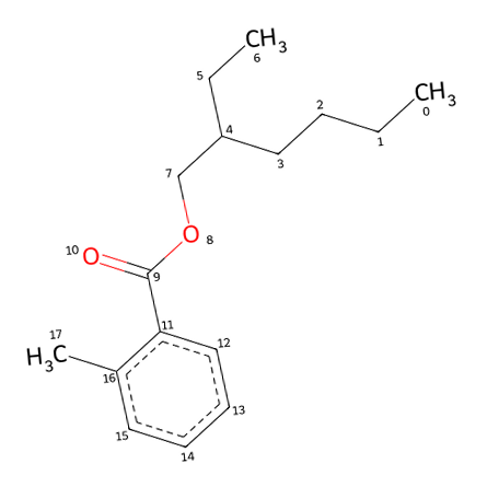 CCCCC(CC)COC(=O)c1ccccc1C